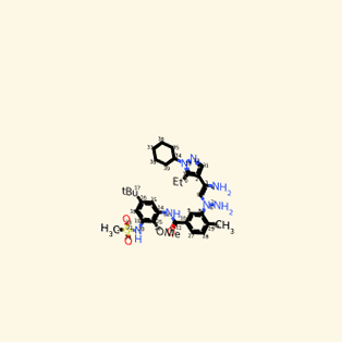 CCc1c(/C(N)=C/N(N)c2cc(C(=O)Nc3cc(C(C)(C)C)cc(NS(C)(=O)=O)c3OC)ccc2C)cnn1C1CCCCC1